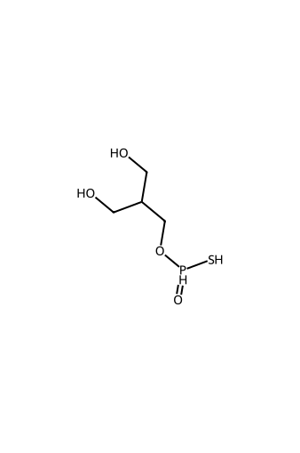 O=[PH](S)OCC(CO)CO